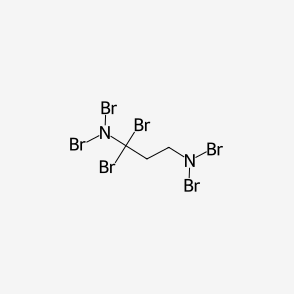 BrN(Br)CCC(Br)(Br)N(Br)Br